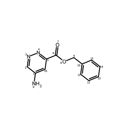 Nc1cnnc(C(=O)OCc2ccccc2)c1